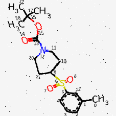 Cc1cccc(S(=O)(=O)C2CCN(C(=O)OC(C)(C)C)CC2)c1